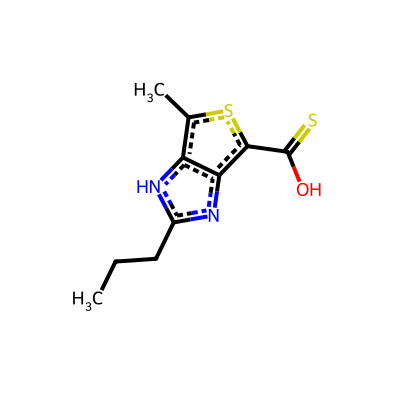 CCCc1nc2c(C(O)=S)sc(C)c2[nH]1